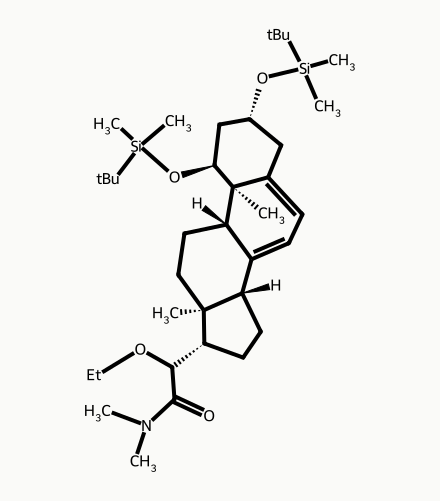 CCOC(C(=O)N(C)C)[C@H]1CC[C@H]2C3=CC=C4C[C@@H](O[Si](C)(C)C(C)(C)C)C[C@H](O[Si](C)(C)C(C)(C)C)[C@]4(C)[C@H]3CC[C@]12C